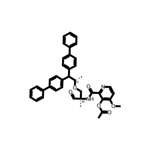 COc1ccnc(C(=O)N[C@@](C)(C=O)CO[C@@H](C)C(c2ccc(-c3ccccc3)cc2)c2ccc(-c3ccccc3)cc2)c1OC(C)=O